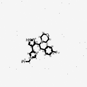 CC(C)Cn1cnc(-c2c[nH]nc2C(Cc2ccc(F)cc2)N2CCOCC2)c1